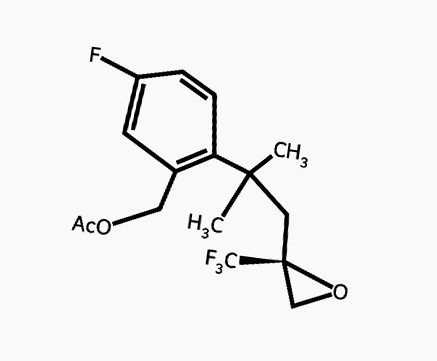 CC(=O)OCc1cc(F)ccc1C(C)(C)C[C@@]1(C(F)(F)F)CO1